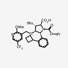 COc1ncc(C(F)(F)F)cc1CO[C@H]1[C@H](C(C)(C)C)[C@@H](C(=O)O)N(C(=O)OC(C)C)[C@H]1c1ccccc1C1CCC1